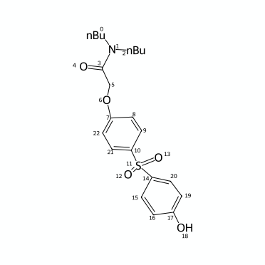 CCCCN(CCCC)C(=O)COc1ccc(S(=O)(=O)c2ccc(O)cc2)cc1